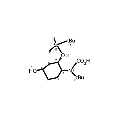 CC(C)(C)N(C(=O)O)[C@H]1CC[C@@H](O)C[C@H]1O[Si](C)(C)C(C)(C)C